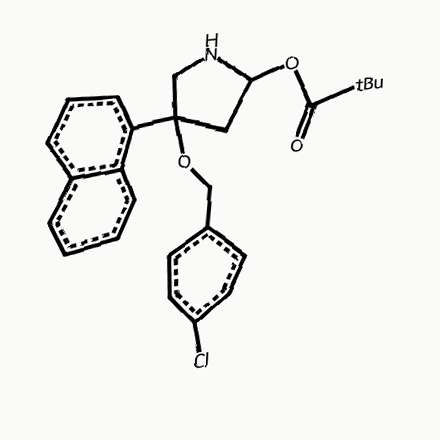 CC(C)(C)C(=O)OC1CC(OCc2ccc(Cl)cc2)(c2cccc3ccccc23)CN1